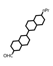 CCCC1CCC2CC(C3CCC4CC(C=O)CCC4C3)CCC2C1